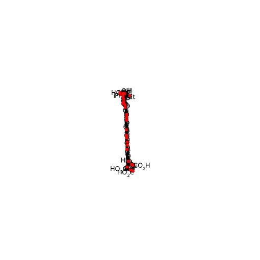 CCNC(=O)c1nnc(-c2cc(C(C)C)c(O)cc2O)n1-c1ccc(CC2CCN(C(=O)CCOCCOCCOCCOCCOCCOCCOCCOCCOCCOCCOCCOCCNC(=O)CN3CCN(CC(=O)O)CCN(CC(=O)O)CCN(CC(=O)O)CC3)CC2)cc1